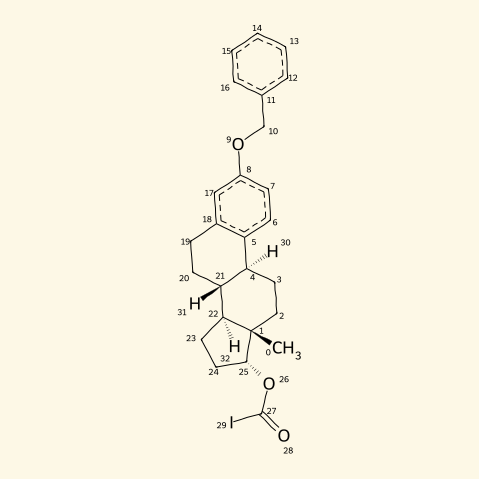 C[C@]12CC[C@@H]3c4ccc(OCc5ccccc5)cc4CC[C@H]3[C@@H]1CC[C@H]2OC(=O)I